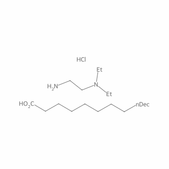 CCCCCCCCCCCCCCCCCC(=O)O.CCN(CC)CCN.Cl